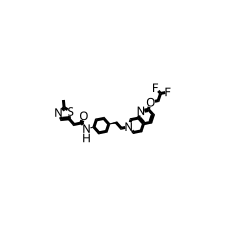 Cc1ncc(CC(=O)N[C@H]2CC[C@H](CCN3CCc4ccc(OCC(F)F)nc4C3)CC2)s1